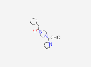 O=CC(c1ccccn1)N1CCN(C(=O)CC2CCCCC2)CC1